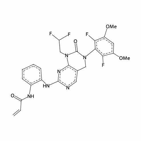 C=CC(=O)Nc1ccccc1Nc1ncc2c(n1)N(CC(F)F)C(=O)N(c1c(F)c(OC)cc(OC)c1F)C2